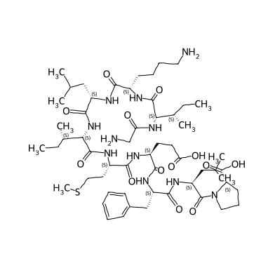 CC[C@H](C)[C@H](NC(=O)CN)C(=O)N[C@@H](CCCCN)C(=O)N[C@@H](CC(C)C)C(=O)N[C@H](C(=O)N[C@@H](CCSC)C(=O)N[C@@H](CCC(=O)O)C(=O)N[C@@H](Cc1ccccc1)C(=O)N[C@@H](CC(C)C)C(=O)N1CCC[C@H]1C(=O)O)[C@@H](C)CC